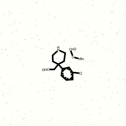 CC(C)(C)OC=O.O=CCC1(c2cccc(Cl)c2)CCNCC1